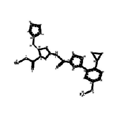 CC(C)(C)OC(=O)N1C[C@H](NC(=O)c2nnc(-c3cc(OC(F)(F)F)ccc3C3CC3)o2)C[C@H]1Cn1cncn1